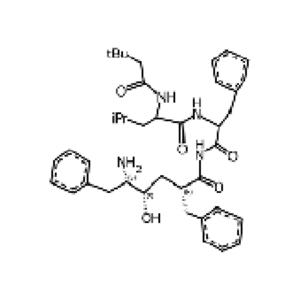 CC(C)CC(NC(=O)CC(C)(C)C)C(=O)NC(Cc1ccccc1)C(=O)NC(=O)[C@H](Cc1ccccc1)C[C@H](O)[C@@H](N)Cc1ccccc1